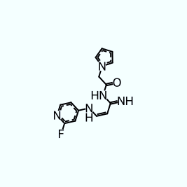 N=C(/C=C\Nc1ccnc(F)c1)NC(=O)Cn1cccc1